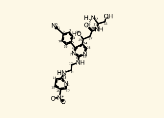 N#Cc1ccc(-c2nc(NCCNc3ccc([N+](=O)[O-])cn3)ncc2C(O)CC(=O)NC(N)CO)cc1